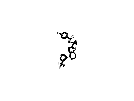 O=C(NC1(c2ccc3c(n2)CCC[C@H]3c2cncc(C(F)(F)F)c2)CC1)c1ccc(F)cc1